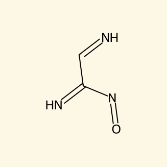 N=CC(=N)N=O